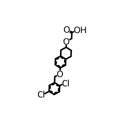 O=C(O)COC1CCc2cc(OCc3cc(Cl)ccc3Cl)ccc2C1